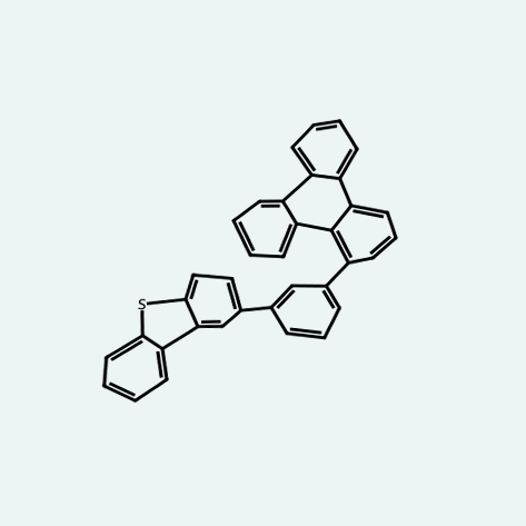 c1cc(-c2ccc3sc4ccccc4c3c2)cc(-c2cccc3c4ccccc4c4ccccc4c23)c1